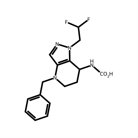 O=C(O)NC1CCN(Cc2ccccc2)c2cnn(CC(F)F)c21